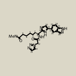 CNC(=O)CCCCC[C@H](NC(=O)Cn1ccnn1)c1ncc(-c2ccc3[nH]ncc3c2)[nH]1